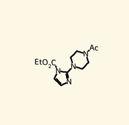 CCOC(=O)n1ccnc1N1CCN(C(C)=O)CC1